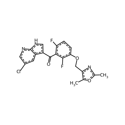 Cc1nc(COc2ccc(F)c(C(=O)c3c[nH]c4ncc(Cl)cc34)c2F)c(C)o1